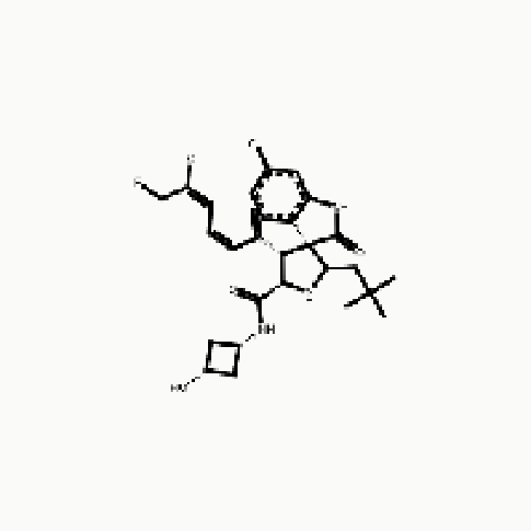 C=C(/C=C\C=C(\Cl)CF)[C@H]1[C@H](C(=O)N[C@H]2C[C@@H](O)C2)N[C@H](CC(C)(C)C)[C@]12C(=O)Nc1cc(Cl)ccc12